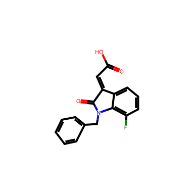 O=C(O)/C=C1/C(=O)N(Cc2ccccc2)c2c(F)cccc21